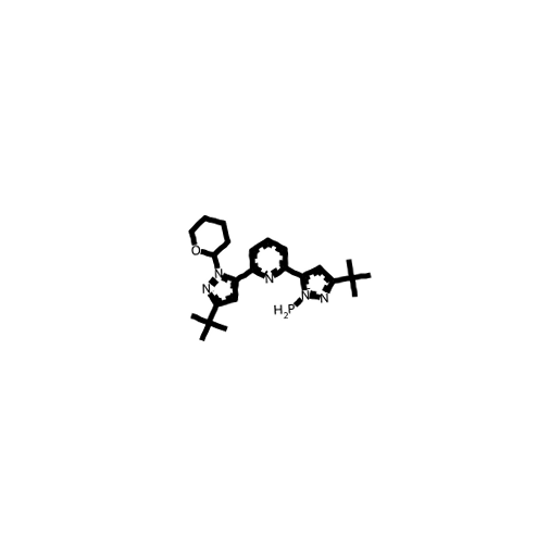 CC(C)(C)c1cc(-c2cccc(-c3cc(C(C)(C)C)nn3C3CCCCO3)n2)n(P)n1